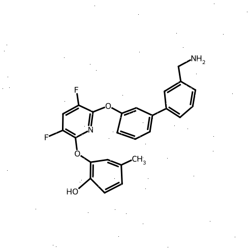 Cc1ccc(O)c(Oc2nc(Oc3cccc(-c4cccc(CN)c4)c3)c(F)cc2F)c1